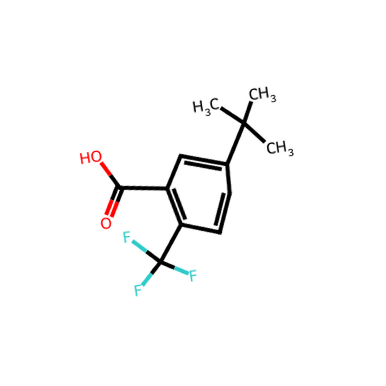 CC(C)(C)c1ccc(C(F)(F)F)c(C(=O)O)c1